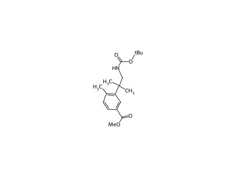 COC(=O)c1ccc(C)c(C(C)(C)CNC(=O)OC(C)(C)C)c1